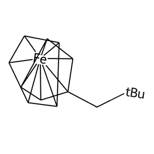 CC(C)(C)C[C]12[CH]3[CH]4[CH]5[CH]1[Fe]45321678[CH]2[CH]1[CH]6[CH]7[CH]28